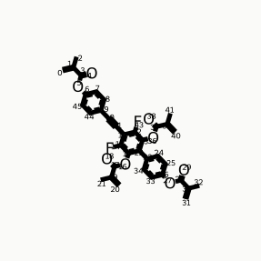 C=C(C)C(=O)Oc1ccc(C#Cc2c(F)c(OC(=O)C(=C)C)c(-c3ccc(OC(=O)C(=C)C)cc3)c(OC(=O)C(=C)C)c2F)cc1